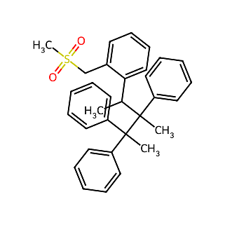 CC(c1ccccc1CS(C)(=O)=O)C(C)(c1ccccc1)C(C)(c1ccccc1)c1ccccc1